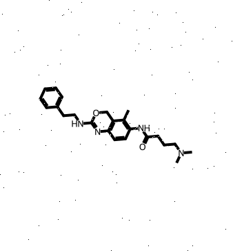 Cc1c(NC(=O)CCCN(C)C)ccc2c1COC(NCCc1ccccc1)=N2